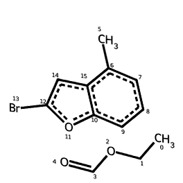 CCOC=O.Cc1cccc2oc(Br)cc12